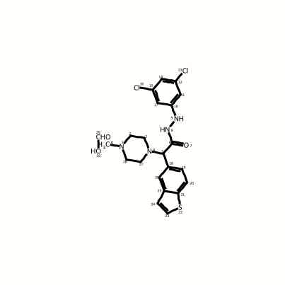 CN1CCN(C(C(=O)NNc2cc(Cl)cc(Cl)c2)c2ccc3sccc3c2)CC1.O=CO